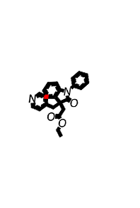 CCOC(=O)CC1(Cc2ccncc2)C(=O)N(c2ccccc2)c2ccccc21